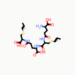 C/C=C/SCC(NC(=O)CCC(NC(=O)C(CS/C=C/C)NC(=O)CCC(N)C(=O)O)C(=O)O)C(=O)O